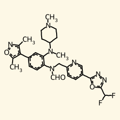 Cc1noc(C)c1-c1ccc(N(C=O)Cc2ccc(-c3nnc(C(F)F)o3)cn2)c(N(C)C2CCN(C)CC2)c1